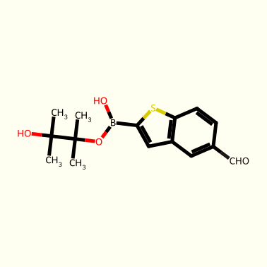 CC(C)(O)C(C)(C)OB(O)c1cc2cc(C=O)ccc2s1